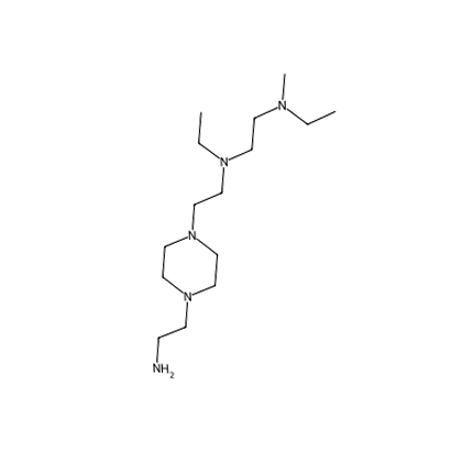 CCN(C)CCN(CC)CCN1CCN(CCN)CC1